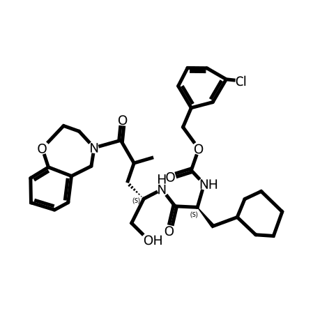 CC(C[C@@H](CO)NC(=O)[C@H](CC1CCCCC1)NC(=O)OCc1cccc(Cl)c1)C(=O)N1CCOc2ccccc2C1